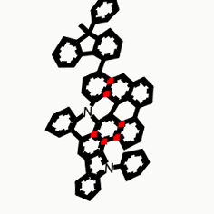 CC1(c2ccccc2)c2ccccc2-c2c(-c3ccc(N(c4ccccc4-c4ccc5c(c4)c4ccccc4n5-c4ccccc4)c4ccccc4-c4cccc5cccc(-c6ccccc6)c45)cc3)cccc21